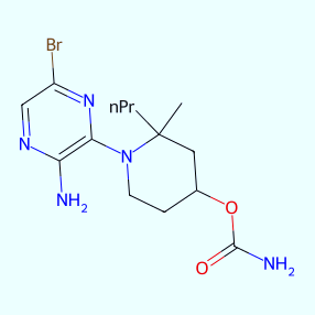 CCCC1(C)CC(OC(N)=O)CCN1c1nc(Br)cnc1N